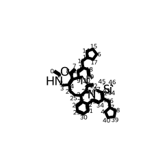 C=C1NCC2=C(C(=C)O1)c1cc(CC3CCCC3)cc[n+]1C(=C)C1C(CC2)c2ccccc2-c2cc(CC3CCCC3)c([Si](C)(C)C)c[n+]21